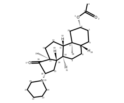 CC(=O)O[C@@H]1CC[C@@H]2CC[C@@H]3[C@H](CC[C@]4(C)C(=O)[C@@H](N5CCCCC5)C[C@@H]34)[C@@]2(C)C1